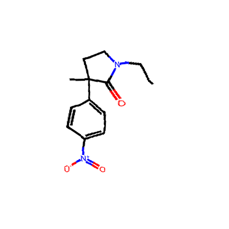 CCN1CCC(C)(c2ccc([N+](=O)[O-])cc2)C1=O